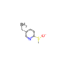 BCc1ccc([S+](C)[O-])nc1